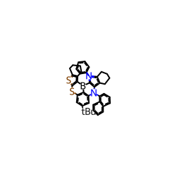 CC(C)(C)c1cc2c3c(c1)N(c1cccc4ccccc14)c1c4c(n(-c5ccccc5)c1B3c1c(sc3c1CCCC3)S2)CCCC4